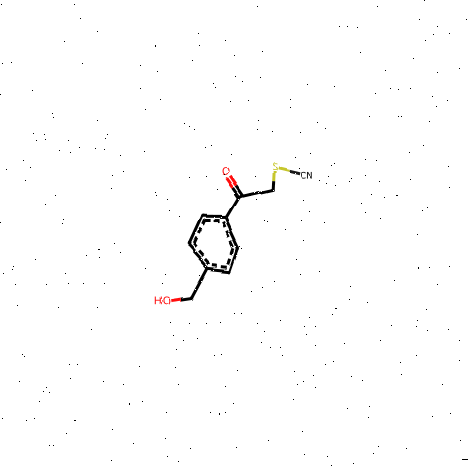 N#CSCC(=O)c1ccc(CO)cc1